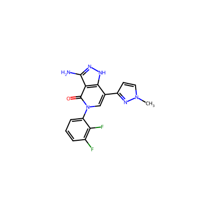 Cn1ccc(-c2cn(-c3cccc(F)c3F)c(=O)c3c(N)n[nH]c23)n1